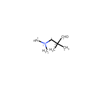 CCCN(C)CC(C)(C)C=O